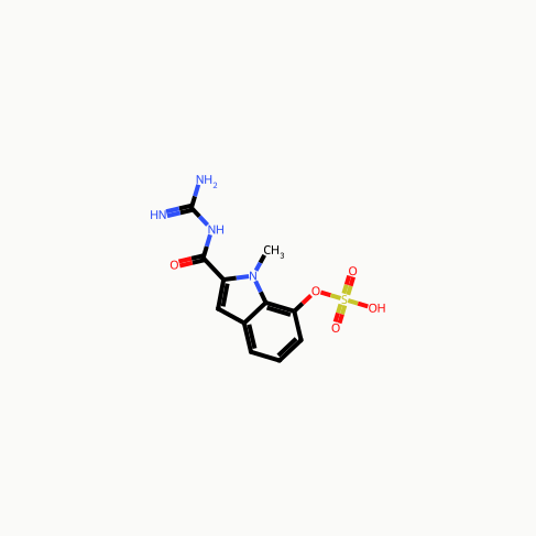 Cn1c(C(=O)NC(=N)N)cc2cccc(OS(=O)(=O)O)c21